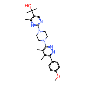 COc1ccc(-c2nnc(N3CCN(c4ncc(C(C)(C)O)c(C)n4)CC3)c(C)c2C)cc1